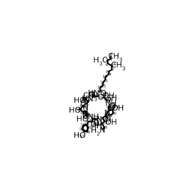 CC[C@H](C)C[C@H](C)CCCCCCCCC(=O)N[C@H]1C[C@@H](O)C(S)NC(=O)[C@@H]2[C@@H](O)CCN2C(=O)[C@H]([C@H](O)CCN)NC(=O)[C@H]([C@H](O)[C@@H](O)c2ccc(O)cc2)NC(=O)[C@@H]2C[C@@H](O)CN2C(=O)[C@H]([C@@H](C)O)NC1=O